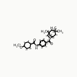 COC1CCC(C(=O)Nc2ccc(C(=O)N3CC4(C)CC3CC(C)(C)C4)cc2)CC1